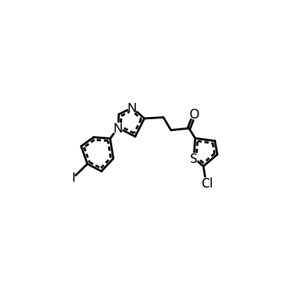 O=C(CCc1cn(-c2ccc(I)cc2)cn1)c1ccc(Cl)s1